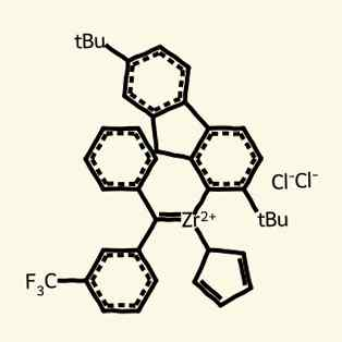 CC(C)(C)c1ccc2c(c1)Cc1c-2ccc(C(C)(C)C)[c]1[Zr+2](=[C](c1ccccc1)c1cccc(C(F)(F)F)c1)[CH]1C=CC=C1.[Cl-].[Cl-]